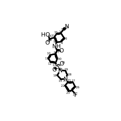 N#Cc1ccc(NC(=O)c2cccc(S(=O)(=O)N3CCN(c4ccc(F)cc4)CC3)c2)c(C(=O)O)c1